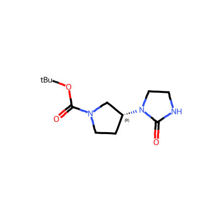 CC(C)(C)OC(=O)N1CC[C@@H](N2CCNC2=O)C1